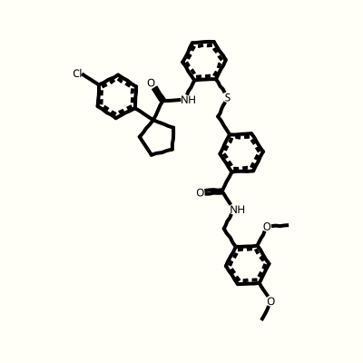 COc1ccc(CNC(=O)c2cccc(CSc3ccccc3NC(=O)C3(c4ccc(Cl)cc4)CCCC3)c2)c(OC)c1